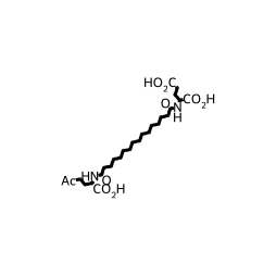 CC(=O)CCC(NC(=O)CCCCCCCCCCCCCCC(=O)NC(CCC(=O)O)C(=O)O)C(=O)O